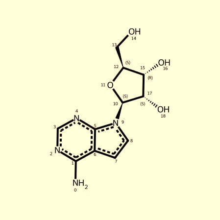 Nc1ncnc2c1ccn2[C@H]1O[C@@H](CO)[C@H](O)[C@@H]1O